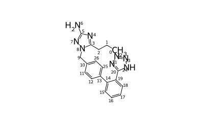 CCCc1nc(N)nn1Cc1ccc(-c2ccccc2-c2nnn[nH]2)cc1